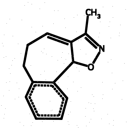 CC1=NOC2C1=CCCc1ccccc12